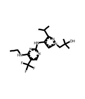 CCNc1nc(Nc2cn(CC(C)(C)O)nc2C(C)C)ncc1C(F)(F)F